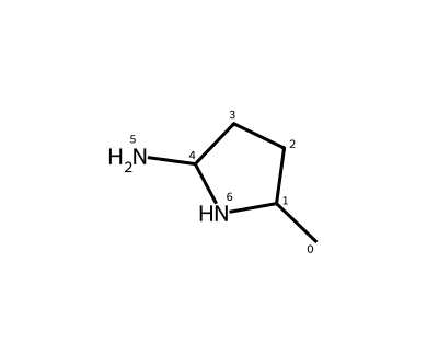 CC1CCC(N)N1